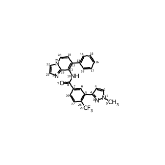 Cn1ccc(-c2cc(C(=O)Nc3c(-c4ccccc4)ccn4ccnc34)ccc2C(F)(F)F)n1